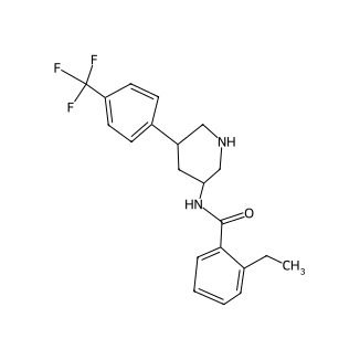 CCc1ccccc1C(=O)NC1CNCC(c2ccc(C(F)(F)F)cc2)C1